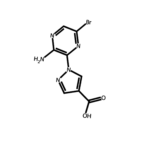 Nc1ncc(Br)nc1-n1cc(C(=O)O)cn1